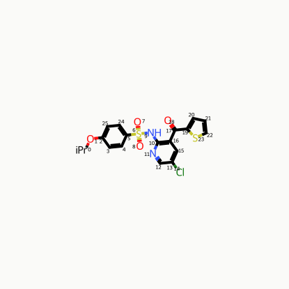 CC(C)Oc1ccc(S(=O)(=O)Nc2ncc(Cl)cc2C(=O)c2cccs2)cc1